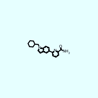 NC(=O)c1cccc(-c2ccc3c(ccn3CC3CCCCC3)c2)n1